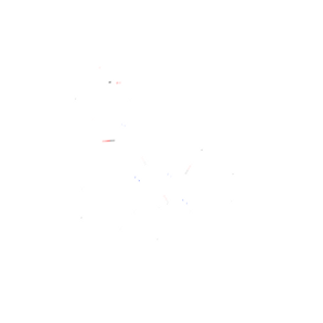 CCC(C)C(C(CC(=O)N1CCCC1C(OC)C(C)C(=O)O)OC)N(C)C(=O)C(NC(=O)C(C(C)C)N(C)C(=O)OC(C)(C)C)C(C)C